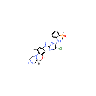 Cc1cc(Nc2ncc(Cl)c(Nc3ccccc3P(C)(C)=O)n2)cc2c1N1CCNC[C@@H]1CO2